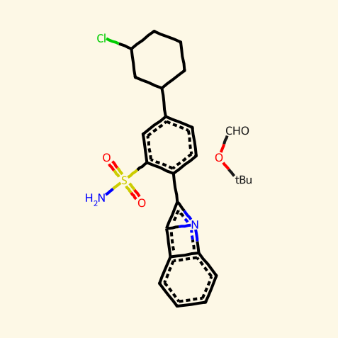 CC(C)(C)OC=O.NS(=O)(=O)c1cc(C2CCCC(Cl)C2)ccc1-c1c2c3ccccc3n1-2